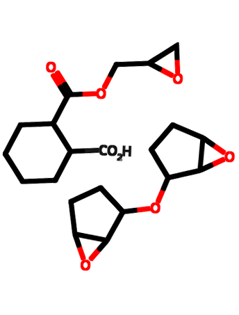 C1CC2OC2C1OC1CCC2OC12.O=C(O)C1CCCCC1C(=O)OCC1CO1